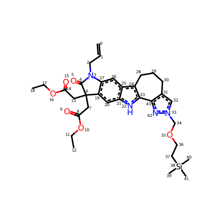 C=CCN1C(=O)C(CC(=O)OCC)(CC(=O)OCC)c2cc3[nH]c4c(c3cc21)CCCc1cn(COCC[Si](C)(C)C)nc1-4